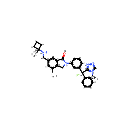 Cn1cnnc1[C@@](F)(c1ccccc1)c1cccc(N2Cc3c(cc(CNC4(C)CCC4)cc3C(F)(F)F)C2=O)c1